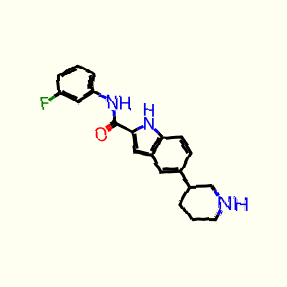 O=C(Nc1cccc(F)c1)c1cc2cc(C3CCCNC3)ccc2[nH]1